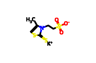 Cc1csc(=S)n1CCS(=O)(=O)[O-].[K+]